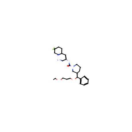 CCOCCCOC(c1ccccc1)C1CCCN(C(=O)NC(CNC)CC2CCC(F)(F)CC2)C1